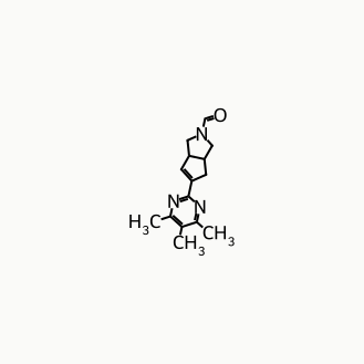 Cc1nc(C2=CC3CN(C=O)CC3C2)nc(C)c1C